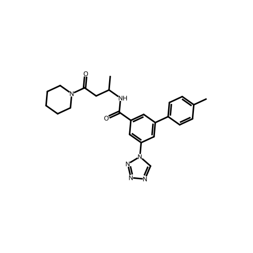 Cc1ccc(-c2cc(C(=O)NC(C)CC(=O)N3CCCCC3)cc(-n3cnnn3)c2)cc1